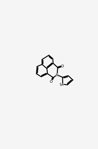 O=C1c2cccc3cccc(c23)C(=O)N1c1ccc[se]1